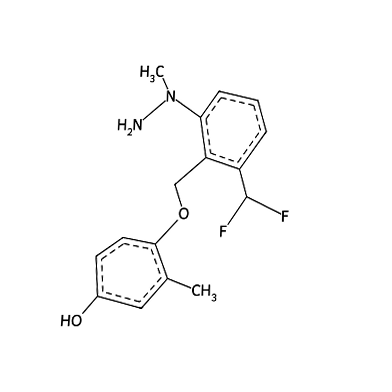 Cc1cc(O)ccc1OCc1c(C(F)F)cccc1N(C)N